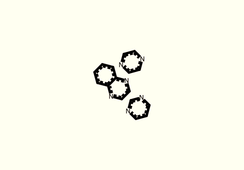 c1ccc2nccnc2c1.c1cnccn1.c1cncnc1